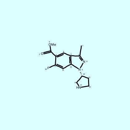 COC(=O)c1cc2c(C)nn([C@@H]3CCNC3)c2cc1F